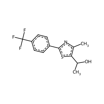 Cc1nc(-c2ccc(C(F)(F)F)cc2)sc1C(C)O